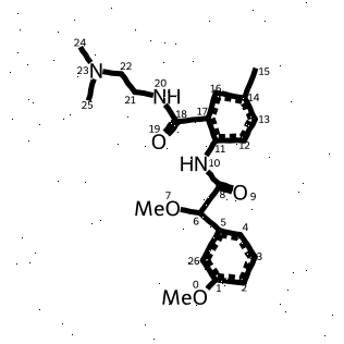 COc1cccc(C(OC)C(=O)Nc2ccc(C)cc2C(=O)NCCN(C)C)c1